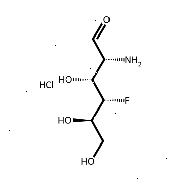 Cl.N[C@@H](C=O)[C@@H](O)[C@H](F)[C@H](O)CO